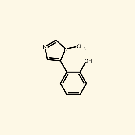 Cn1cncc1-c1ccccc1O